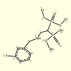 CCOP(=O)(OCC)C(CNCc1cccc(F)c1)P(=O)(O)OC(C)CC